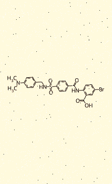 CN(C)c1ccc(CNS(=O)(=O)c2ccc(C(=O)Nc3ccc(Br)cc3C(=O)O)cc2)cc1